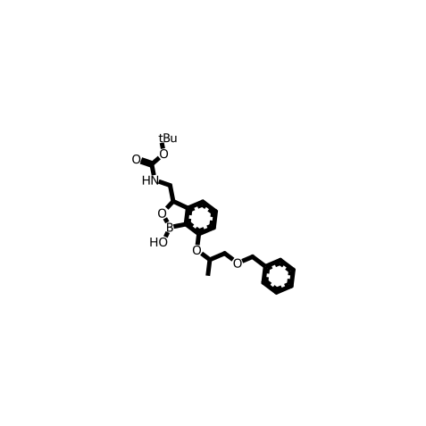 CC(COCc1ccccc1)Oc1cccc2c1B(O)OC2CNC(=O)OC(C)(C)C